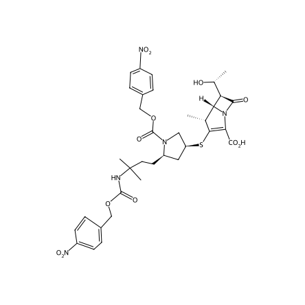 C[C@@H](O)[C@H]1C(=O)N2C(C(=O)O)=C(S[C@H]3C[C@@H](CCC(C)(C)NC(=O)OCc4ccc([N+](=O)[O-])cc4)N(C(=O)OCc4ccc([N+](=O)[O-])cc4)C3)[C@H](C)[C@H]12